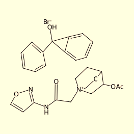 CC(=O)OC1C[N+]2(CC(=O)Nc3ccon3)CCC1CC2.OC1(c2ccccc2)c2ccccc21.[Br-]